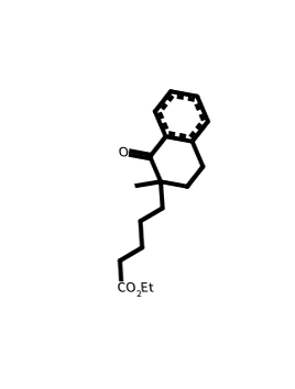 CCOC(=O)CCCCC1(C)CCc2ccccc2C1=O